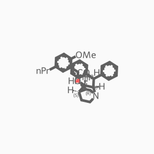 CCCc1ccc(OC)c(CN[C@H]2[C@@H]3CCN(C[C@@H]3OC(=O)O)[C@H]2C(c2ccccc2)c2ccccc2)c1